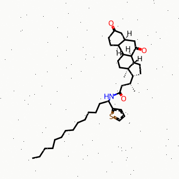 CCCCCCCCCCCCCC(NC(=O)C[C@@H](C)[C@H]1CC[C@H]2[C@@H]3C(=O)C[C@@H]4CC(=O)CC[C@]4(C)[C@H]3CC[C@]12C)c1cccs1